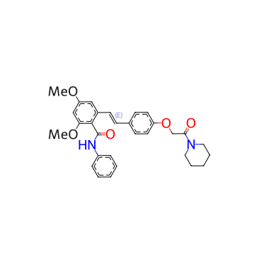 COc1cc(/C=C/c2ccc(OCC(=O)N3CCCCC3)cc2)c(C(=O)Nc2ccccc2)c(OC)c1